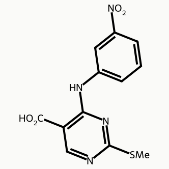 CSc1ncc(C(=O)O)c(Nc2cccc([N+](=O)[O-])c2)n1